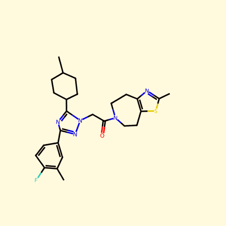 Cc1nc2c(s1)CCN(C(=O)Cn1nc(-c3ccc(F)c(C)c3)nc1C1CCC(C)CC1)CC2